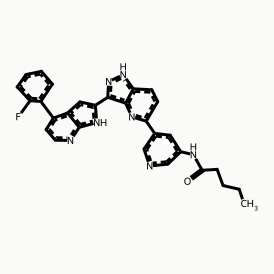 CCCCC(=O)Nc1cncc(-c2ccc3[nH]nc(-c4cc5c(-c6ccccc6F)ccnc5[nH]4)c3n2)c1